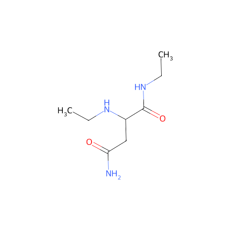 CCNC(=O)C(CC(N)=O)NCC